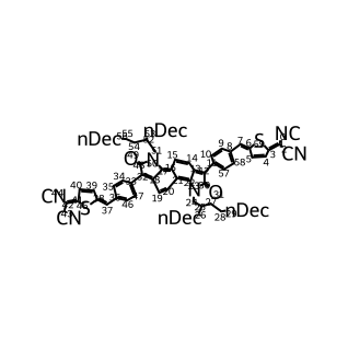 [C-]#[N+]/C(C#N)=c1/cc/c(=C\c2ccc(C3=c4ccc5c6c(ccc5c4N(CC(CCCCCCCCCC)CCCCCCCCCCCC)C3=O)=C(c3ccc(/C=c4\cc/c(=C(/C#N)[N+]#[C-])s4)cc3)C(=O)N6CC(CCCCCCCCCC)CCCCCCCCCCCC)cc2)s1